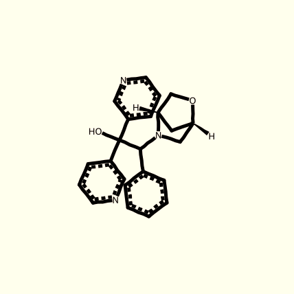 OC(c1cccnc1)(c1cccnc1)C(c1ccccc1)N1C[C@@H]2C[C@H]1CO2